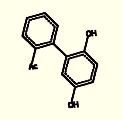 CC(=O)c1ccccc1-c1cc(O)ccc1O